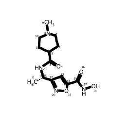 C[C@H](NC(=O)C1CCN(C)CC1)c1cc(C(=O)NO)on1